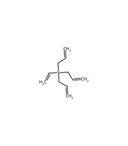 C=[C][Si](CC=C)(CC=C)CC=C